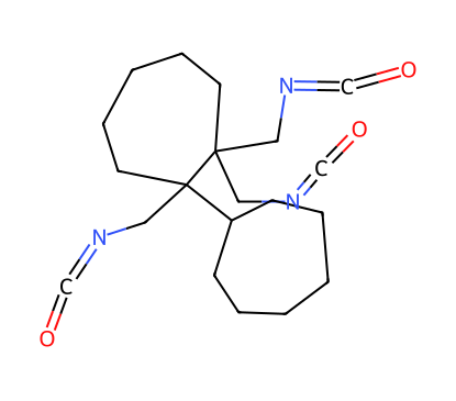 O=C=NCC1(CN=C=O)CCCCCC1(CN=C=O)C1CCCCCC1